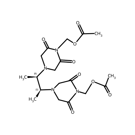 CC(=O)OCN1C(=O)CN([C@H](C)[C@H](C)N2CC(=O)N(COC(C)=O)C(=O)C2)CC1=O